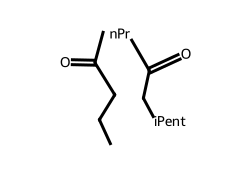 CCCC(=O)CC(C)CCC.CCCC(C)=O